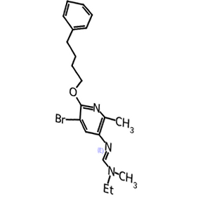 CCN(C)/C=N/c1cc(Br)c(OCCCCc2ccccc2)nc1C